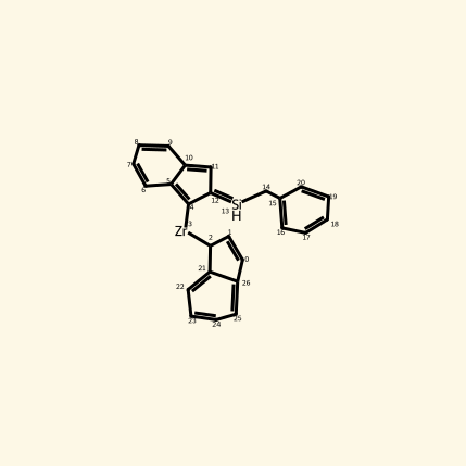 C1=C[CH]([Zr][C]2=c3ccccc3=CC2=[SiH]Cc2ccccc2)c2ccccc21